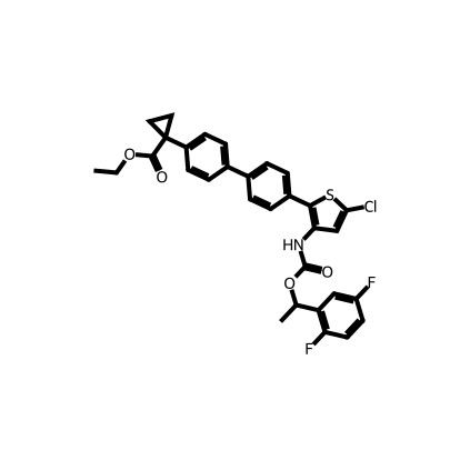 CCOC(=O)C1(c2ccc(-c3ccc(-c4sc(Cl)cc4NC(=O)OC(C)c4cc(F)ccc4F)cc3)cc2)CC1